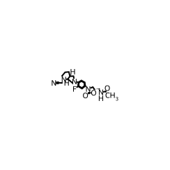 CC(=O)NC[C@H]1CN(c2ccc(N3C[C@@H]4CCCN(CC#N)[C@@H]4C3)c(F)c2)C(=O)O1